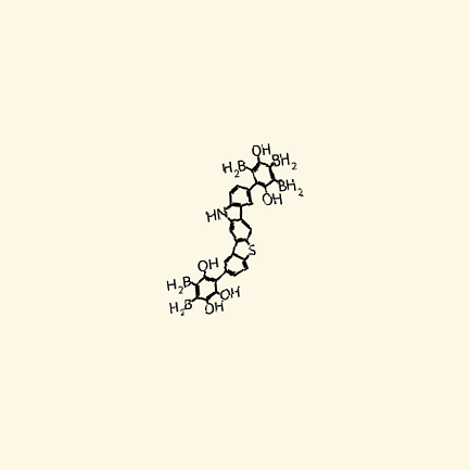 Bc1c(B)c(O)c(-c2ccc3[nH]c4cc5c(cc4c3c2)sc2ccc(-c3c(O)c(B)c(B)c(O)c3O)cc25)c(B)c1O